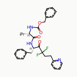 CC(C)[C@H](NC(=O)OCc1ccccc1)C(=O)N[C@@H](Cc1ccccc1)C(=O)C(F)(F)CCc1ccccn1